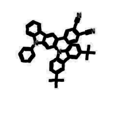 CC(C)(C)c1ccc2c(c1)c1cc(C(C)(C)C)ccc1n2-c1cc2c(cc1-c1ccc(C#N)c(C#N)c1)c1ccccc1n2-c1ccccc1